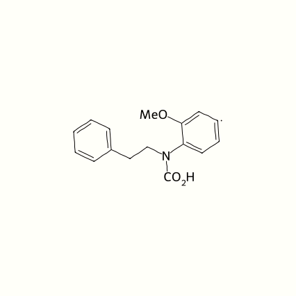 COc1c[c]ccc1N(CCc1ccccc1)C(=O)O